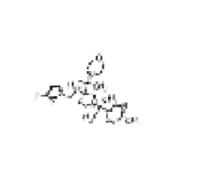 Cc1ccc(C(C)(C)N2CCC(CCc3ccc(F)s3)(C(C)(C)N3CCOCC3)C2)cn1